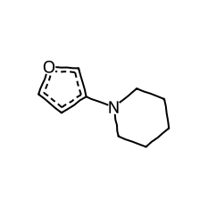 c1cc(N2CCCCC2)co1